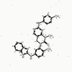 Cc1ccc(Nc2ncc3c(n2)N(C)C(=O)N(c2cc(Nc4nc5ccccc5[nH]4)ccc2C)C3)cn1